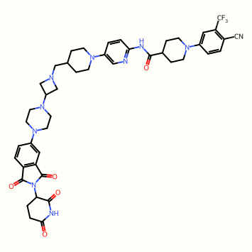 N#Cc1ccc(N2CCC(C(=O)Nc3ccc(N4CCC(CN5CC(N6CCN(c7ccc8c(c7)C(=O)N(C7CCC(=O)NC7=O)C8=O)CC6)C5)CC4)cn3)CC2)cc1C(F)(F)F